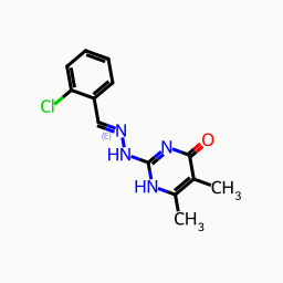 Cc1[nH]c(N/N=C/c2ccccc2Cl)nc(=O)c1C